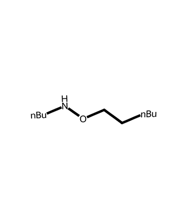 CCCCCCONCCCC